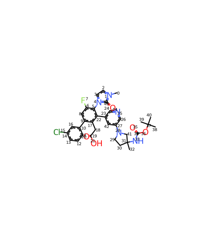 Cn1ccn(-c2c(F)cc(-c3cccc(Cl)c3)c(CC(=O)O)c2-c2cncc(N3CCC(C)(NC(=O)OC(C)(C)C)C3)c2)c1=O